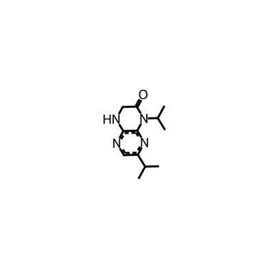 CC(C)c1cnc2c(n1)N(C(C)C)C(=O)CN2